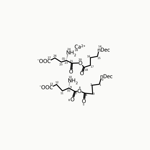 CCCCCCCCCCCCCC(=O)OC(=O)[C@@H](N)CCC(=O)[O-].CCCCCCCCCCCCCC(=O)OC(=O)[C@@H](N)CCC(=O)[O-].[Ca+2]